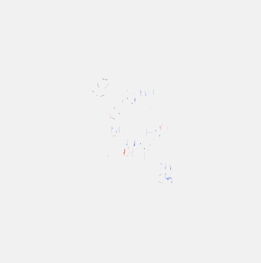 CC1NC(=O)C(CC(=O)O)NC(=O)CNC(=O)C(CCCCn2cc[n+]3ncccc23)NC(=O)CCSSCC(C(N)=O)NC(=O)C(C)N(CCc2c[nH]c3ccccc23)C1=O